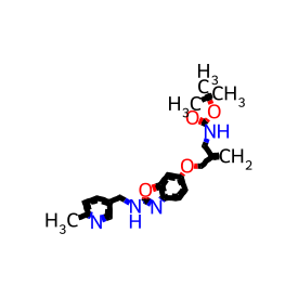 C=C(CNC(=O)OC(C)(C)C)COc1ccc2nc(NCc3ccc(C)nc3)oc2c1